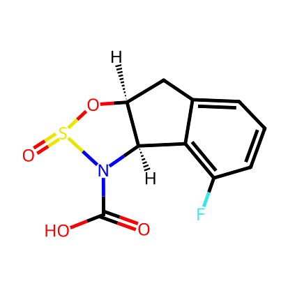 O=C(O)N1[C@@H]2c3c(F)cccc3C[C@@H]2OS1=O